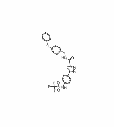 O=C(NCc1ccc(Oc2ccccc2)cc1)c1nnc(-c2ccc(NS(=O)(=O)C(F)(F)F)cc2)o1